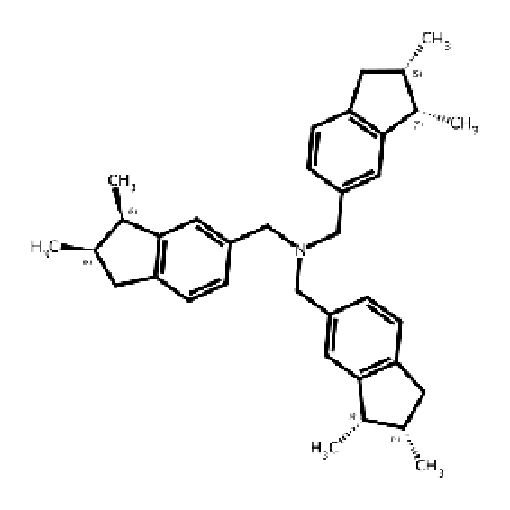 C[C@@H]1Cc2ccc(CN(Cc3ccc4c(c3)[C@@H](C)[C@@H](C)C4)Cc3ccc4c(c3)[C@@H](C)[C@@H](C)C4)cc2[C@@H]1C